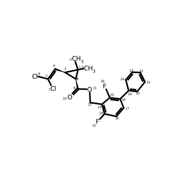 CC1(C)[C@H](C=C(Cl)Cl)[C@@H]1C(=O)OCc1c(F)ccc(-c2ccccc2)c1F